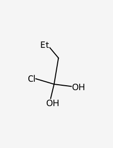 CCCC(O)(O)Cl